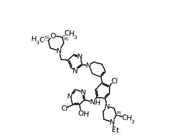 CCN1CCN(c2cc(Cl)c(C3=CCCN(c4ncc(CN5C[C@@H](C)O[C@@H](C)C5)cn4)C3)cc2Nc2ncnc(Cl)c2O)C[C@H]1C